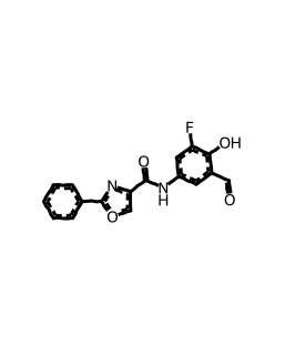 O=Cc1cc(NC(=O)c2coc(-c3ccccc3)n2)cc(F)c1O